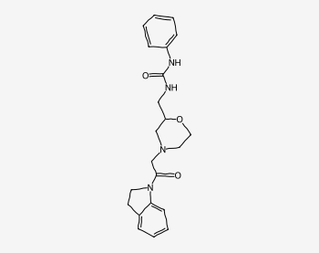 O=C(NCC1CN(CC(=O)N2CCc3ccccc32)CCO1)Nc1ccccc1